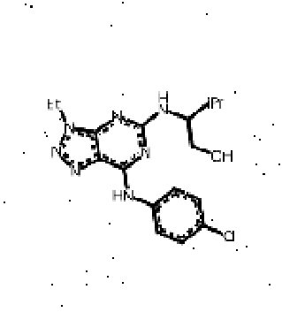 CCn1nnc2c(Nc3ccc(Cl)cc3)nc(NC(CO)C(C)C)nc21